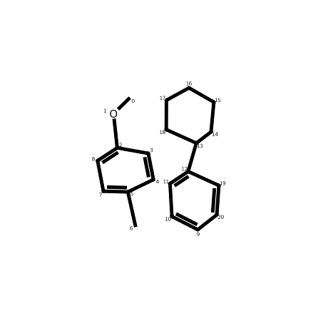 COc1ccc(C)cc1.c1ccc(C2CCCCC2)cc1